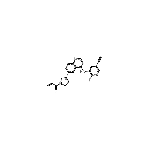 C#Cc1cnc(F)c(Nc2ncnc3ccc([C@@H]4CCN(C(=O)C=C)C4)cc23)c1